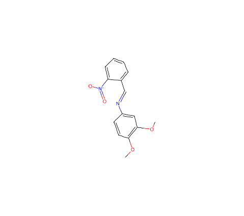 COc1ccc(N=Cc2ccccc2[N+](=O)[O-])cc1OC